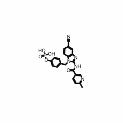 Cc1ccc(C(=O)Nc2nc3cc(C#N)ccc3n2Cc2ccc(OP(=O)(O)O)cc2)cn1